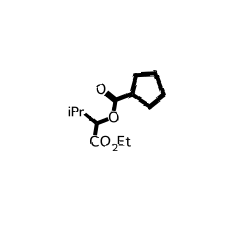 CCOC(=O)C(OC(=O)C1CCCC1)C(C)C